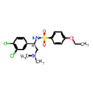 CCOc1ccc(S(=O)(=O)N[C@@H](CN(C)C)c2ccc(Cl)c(Cl)c2)cc1